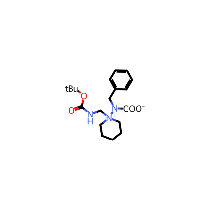 CC(C)(C)OC(=O)NC[N+]1(N(Cc2ccccc2)C(=O)[O-])CCCCC1